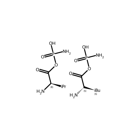 CC(C)[C@@H](N)C(=O)OP(N)(=O)O.CC[C@H](C)[C@H](N)C(=O)OP(N)(=O)O